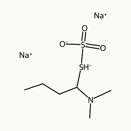 CCCC([SH-]S(=O)(=O)[O-])N(C)C.[Na+].[Na+]